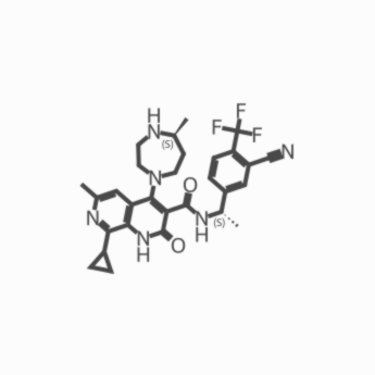 Cc1cc2c(N3CCN[C@@H](C)CC3)c(C(=O)N[C@@H](C)c3ccc(C(F)(F)F)c(C#N)c3)c(=O)[nH]c2c(C2CC2)n1